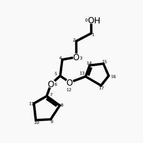 OCCOCC(OC1=CCCC1)OC1=CCCC1